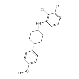 CCOc1ccc([C@H]2CC[C@@H](Nc3ccnc(CC)c3Cl)CC2)cc1